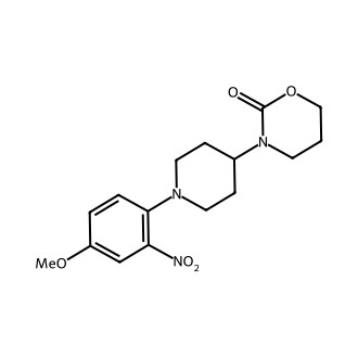 COc1ccc(N2CCC(N3CCCOC3=O)CC2)c([N+](=O)[O-])c1